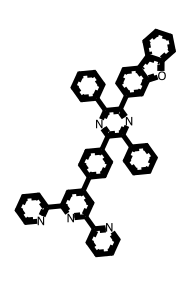 c1ccc(-c2nc(-c3ccc4c(c3)oc3ccccc34)c(-c3ccccc3)nc2-c2ccc(-c3cc(-c4ccccn4)nc(-c4ccccn4)c3)cc2)cc1